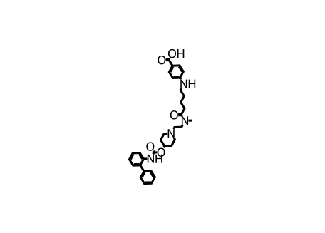 CN(CCN1CCC(OC(=O)Nc2ccccc2-c2ccccc2)CC1)C(=O)CCCCNc1ccc(C(=O)O)cc1